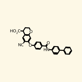 N#Cc1cc2c(cc1Oc1ccc(C(=O)Nc3c#cc(-c4ccccc4)cc3)cc1)OCCC2C(=O)O